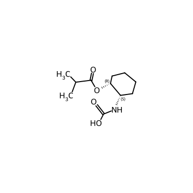 CC(C)C(=O)O[C@@H]1CCCC[C@@H]1NC(=O)O